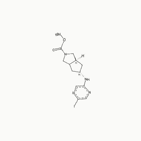 CC(C)(C)OC(=O)N1CC2C[C@@H](Nc3cnc(I)cn3)C[C@@H]2C1